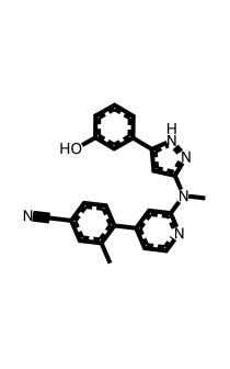 Cc1cc(C#N)ccc1-c1ccnc(N(C)c2cc(-c3cccc(O)c3)[nH]n2)c1